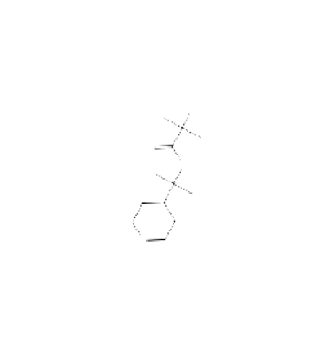 CC(C)(Br)C(=O)OC(C)(C)C1CCNCC1